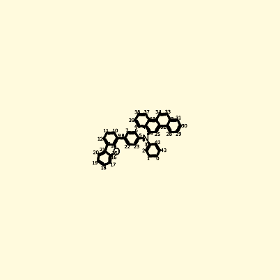 c1ccc(N(c2ccc(-c3cccc4c3oc3ccccc34)cc2)c2cc3c4ccccc4ccc3c3ccccc23)cc1